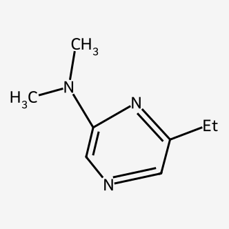 CCc1cncc(N(C)C)n1